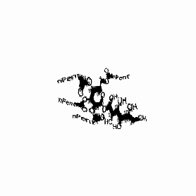 CCCCCC(=O)OC[C@H]1O[C@H](OC(O)[C@@H](O)[C@@H](O)[C@H](O)[C@H](O)CO)[C@@H](OC(=O)CCCCC)[C@@H](OC(=O)CCCCC)[C@@H]1OC(=O)CCCCC